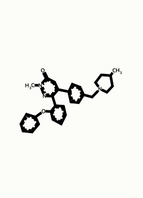 CC1CCN(Cc2ccc(-c3cc(=O)n(C)nc3-c3ccccc3Oc3ccccc3)cc2)CC1